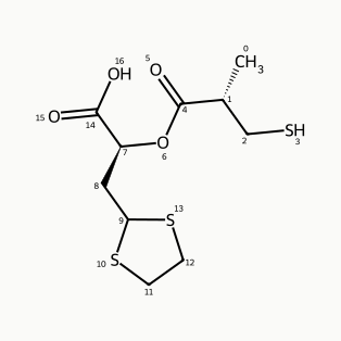 C[C@H](CS)C(=O)O[C@@H](CC1SCCS1)C(=O)O